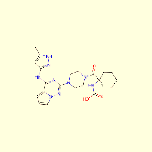 Cc1cc(Nc2nc(N3CCN(C(=O)C4(NC(=O)O)CCCCC4)CC3)nn3cccc23)n[nH]1